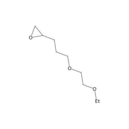 CCOCCOCCCC1CO1